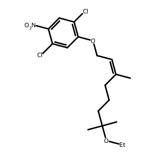 CCOC(C)(C)CCCC(C)=CCOc1cc(Cl)c([N+](=O)[O-])cc1Cl